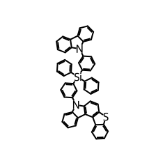 c1ccc([Si](c2ccccc2)(c2cccc(-n3c4ccccc4c4ccccc43)c2)c2cccc(-n3c4ccccc4c4c5c(ccc43)sc3ccccc35)c2)cc1